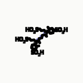 C\C(=C/C=C/C(C)=[N+](\CCCS(=O)(=O)O)c1ccc(S(=O)(=O)O)cc1C)N(CCCS(=O)(=O)O)c1ccc(S(=O)(=O)O)cc1C